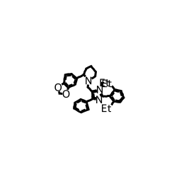 CCc1cccc(CC)c1-c1nc(-c2ccccc2)c(CN2CCCCC2c2ccc3c(c2)OCO3)n1CC